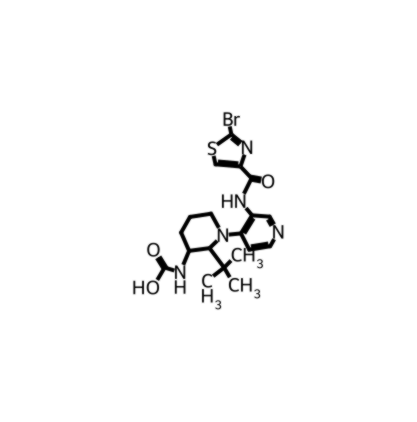 CC(C)(C)C1C(NC(=O)O)CCCN1c1ccncc1NC(=O)c1csc(Br)n1